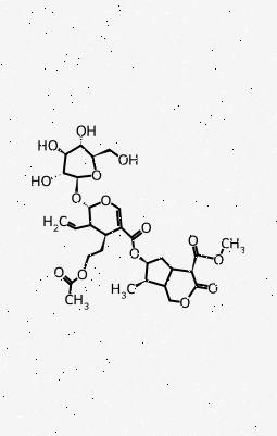 C=CC1[C@H](O[C@@H]2O[C@H](CO)[C@@H](O)[C@H](O)[C@H]2O)OC=C(C(=O)O[C@H]2CC3C(COC(=O)[C@@H]3C(=O)OC)[C@H]2C)[C@H]1CCOC(C)=O